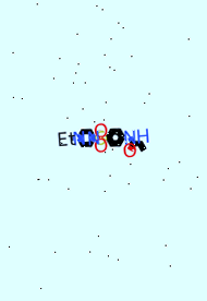 C=CC(=O)Nc1ccc(S(=O)(=O)N2CCN(CC)CC2)cc1